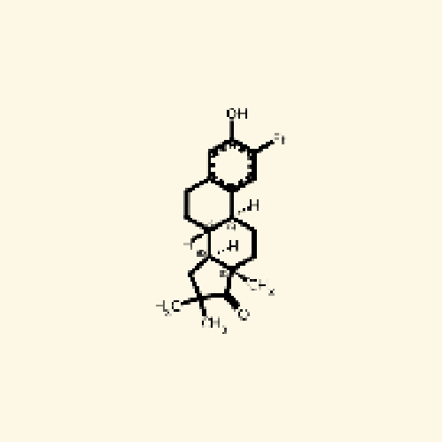 CCc1cc2c(cc1O)CC[C@@H]1[C@@H]2CC[C@]2(C)C(=O)C(C)(C)C[C@@H]12